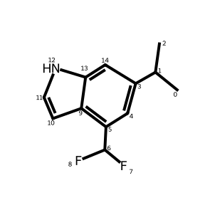 CC(C)c1cc(C(F)F)c2cc[nH]c2c1